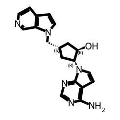 Nc1ncnc2c1ccn2[C@@H]1C[C@H](Cn2ccc3ccncc32)C[C@H]1O